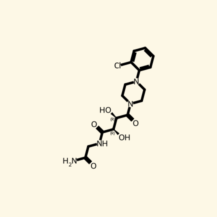 NC(=O)CNC(=O)[C@H](O)[C@@H](O)C(=O)N1CCN(c2ccccc2Cl)CC1